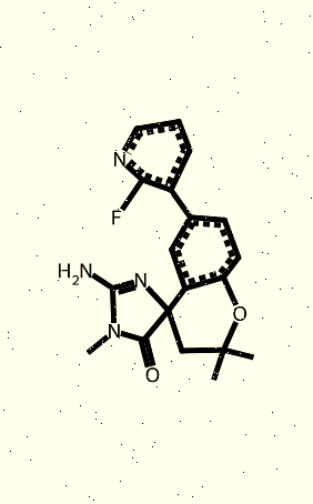 CN1C(=O)C2(CC(C)(C)Oc3ccc(-c4cccnc4F)cc32)N=C1N